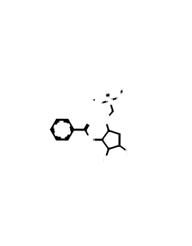 BC1CC(OCP(=O)(OC)OC)C(OC(=O)c2ccccc2)C1F